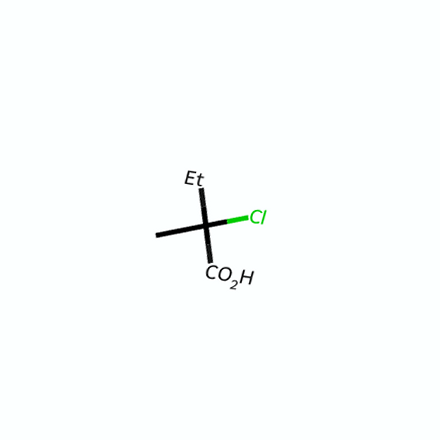 CCC(C)(Cl)C(=O)O